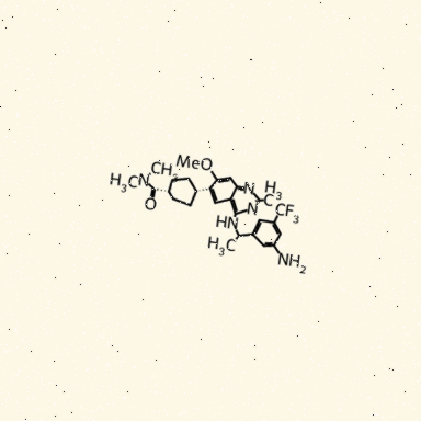 COc1cc2nc(C)nc(N[C@H](C)c3cc(N)cc(C(F)(F)F)c3)c2cc1[C@H]1CC[C@@H](C(=O)N(C)C)CC1